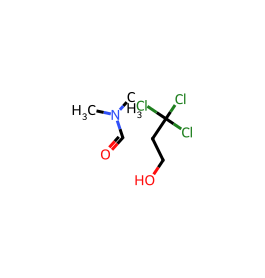 CN(C)C=O.OCCC(Cl)(Cl)Cl